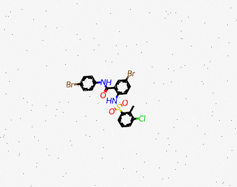 Cc1c(Cl)cccc1S(=O)(=O)Nc1ccc(Br)cc1C(=O)Nc1ccc(Br)cc1